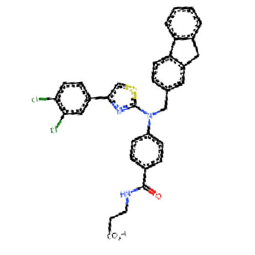 O=C(O)CCNC(=O)c1ccc(N(Cc2ccc3c(c2)Cc2ccccc2-3)c2nc(-c3ccc(Cl)c(Cl)c3)cs2)cc1